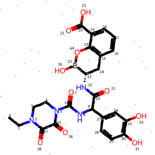 CCN1CCN(C(=O)NC(C(=O)N[C@H]2Cc3cccc(C(=O)O)c3OB2O)c2ccc(O)c(O)c2)C(=O)C1=O